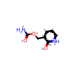 NC(=O)OCc1ccc[nH]c1=O